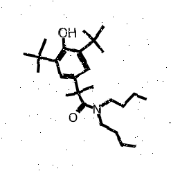 CCCCN(CCCC)C(=O)C(C)(C)c1cc(C(C)(C)C)c(O)c(C(C)(C)C)c1